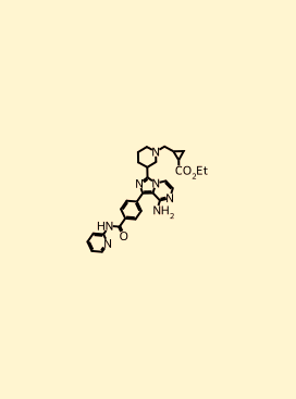 CCOC(=O)C1CC1CN1CCCC(c2nc(-c3ccc(C(=O)Nc4ccccn4)cc3)c3c(N)nccn23)C1